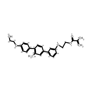 C=C(C)C(=O)OCCOc1cccc(-c2ccc(-c3ccc(OCCO)cc3)c(C)c2)c1